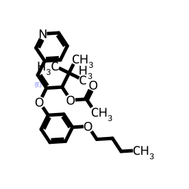 CCCCOc1cccc(O/C(=C/c2cccnc2)C(OC(C)=O)C(C)(C)C)c1